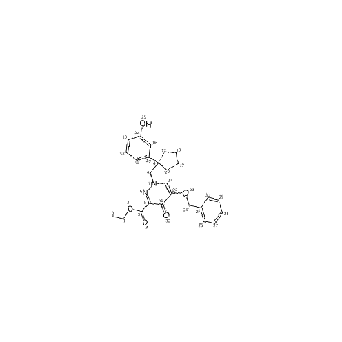 CCOC(=O)c1nn(CC2(c3cccc(O)c3)CCCC2)cc(OCc2ccccc2)c1=O